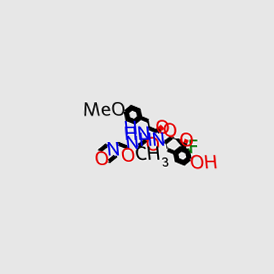 COc1ccc(C[C@H](NC(=O)[C@H](C)NC(=O)CN2CCOCC2)C(=O)N[C@@H](Cc2ccc(O)c(F)c2)C(=O)[C@H]2CO2)cc1